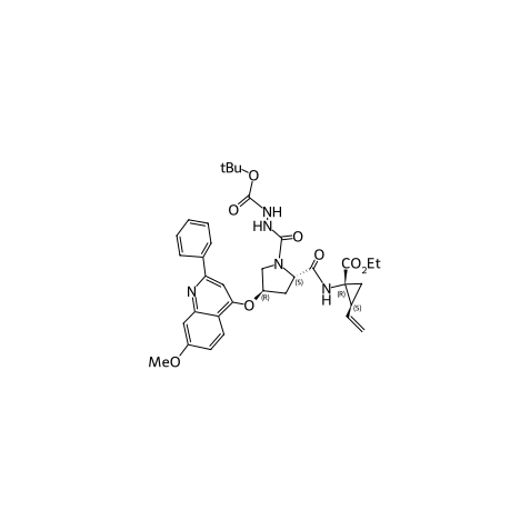 C=C[C@@H]1C[C@]1(NC(=O)[C@@H]1C[C@@H](Oc2cc(-c3ccccc3)nc3cc(OC)ccc23)CN1C(=O)NNC(=O)OC(C)(C)C)C(=O)OCC